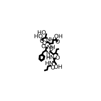 CCCC(=O)NC(CO)C(=O)NC(C(=O)NC(Cc1ccccc1)C(=O)NC(CCC(=O)O)C(=O)NC(CO)C(=O)O)C(C)CC